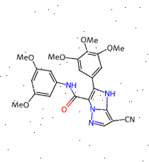 COc1cc(NC(=O)c2c(-c3cc(OC)c(OC)c(OC)c3)[nH]c3c(C#N)cnn23)cc(OC)c1